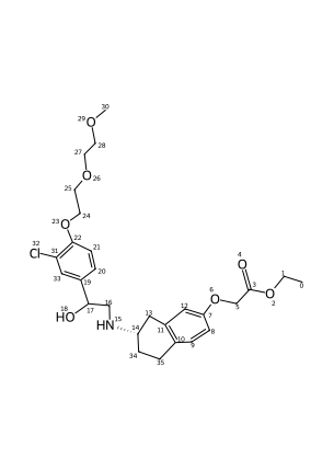 CCOC(=O)COc1ccc2c(c1)C[C@@H](NCC(O)c1ccc(OCCOCCOC)c(Cl)c1)CC2